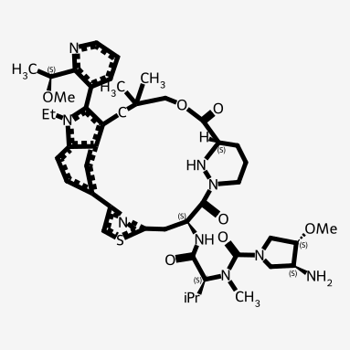 CCn1c(-c2cccnc2[C@H](C)OC)c2c3cc(ccc31)-c1csc(n1)C[C@H](NC(=O)[C@H](C(C)C)N(C)C(=O)N1C[C@H](OC)[C@@H](N)C1)C(=O)N1CCC[C@H](N1)C(=O)OCC(C)(C)C2